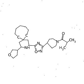 CC(C)C(=O)N1CCC(c2noc(C3CC4(CCCCCCC4)CC(C4CCOC4)N3)n2)CC1